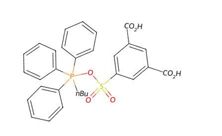 CCCCP(OS(=O)(=O)c1cc(C(=O)O)cc(C(=O)O)c1)(c1ccccc1)(c1ccccc1)c1ccccc1